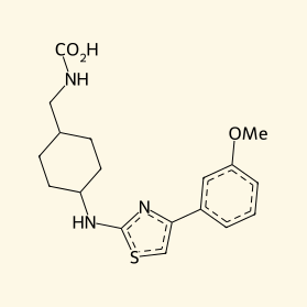 COc1cccc(-c2csc(NC3CCC(CNC(=O)O)CC3)n2)c1